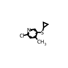 Cc1cc(Cl)ncc1SC1CC1